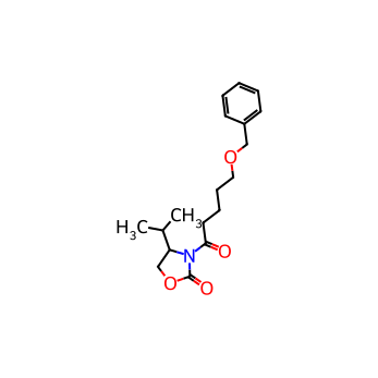 CC(C)C1COC(=O)N1C(=O)CCCCOCc1ccccc1